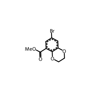 COC(=O)c1cc(Br)cc2c1OCCO2